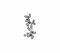 c1ccc([C@H]2c3ccccc3-c3c(-c4nc(-c5cccc6ccccc56)nc(-c5ccc([C@H]6CCc7cc8ccccc8cc7-c7c6ccc6ccc(-c8ccc9c(-c%10nc(-c%11ccc%12c%13ccccc%13n(-c%13ccccc%13)c%12c%11)nc(-c%11ccc(-n%12c%13cc%14ccccc%14cc%13c%13c%14ccccc%14ccc%13%12)c%12oc%13ccccc%13c%11%12)n%10)cccc9c8)cc76)c6oc7c8ccccc8ccc7c56)n4)cccc32)cc1